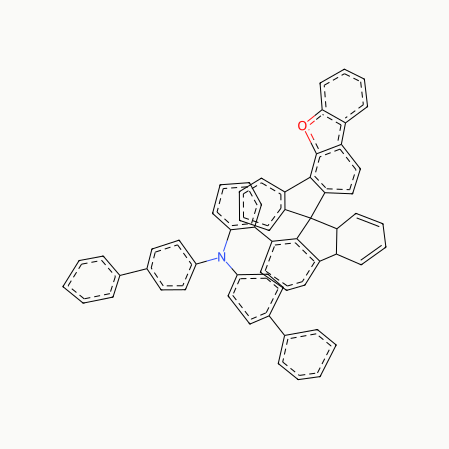 C1=CC2c3cccc(-c4ccccc4N(c4ccc(-c5ccccc5)cc4)c4ccc(-c5ccccc5)cc4)c3C3(c4ccccc4-c4c3ccc3c4oc4ccccc43)C2C=C1